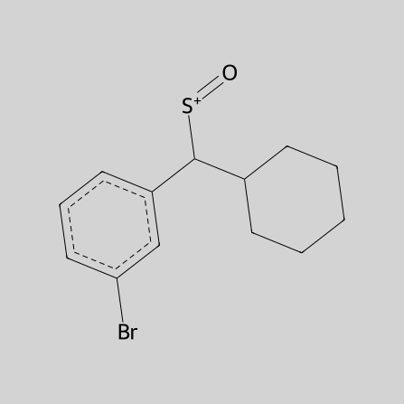 O=[S+]C(c1cccc(Br)c1)C1CCCCC1